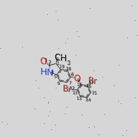 CC1C(=O)Nc2ccc(Oc3c(Br)c[c]cc3Br)cc21